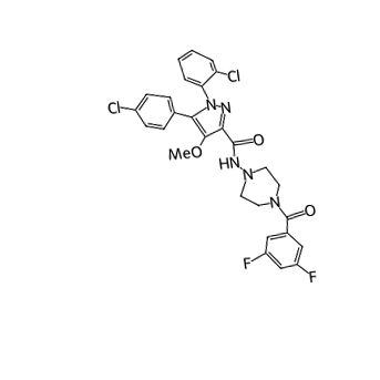 COc1c(C(=O)NN2CCN(C(=O)c3cc(F)cc(F)c3)CC2)nn(-c2ccccc2Cl)c1-c1ccc(Cl)cc1